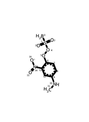 BS(=O)(=O)OOc1ccc(NC)cc1[N+](=O)[O-]